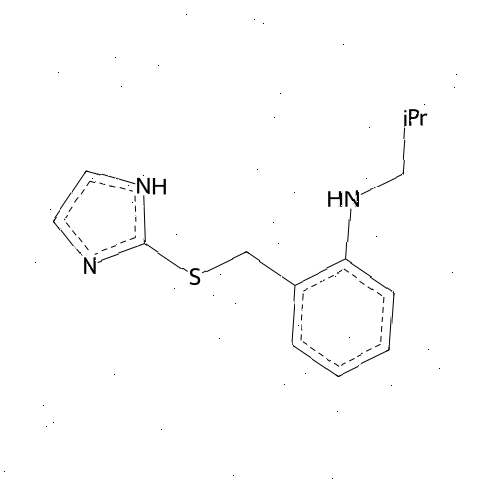 CC(C)CNc1ccccc1CSc1ncc[nH]1